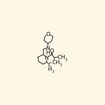 CC(C)C(=O)N1C(C)CCCC1CNC1CCOCC1